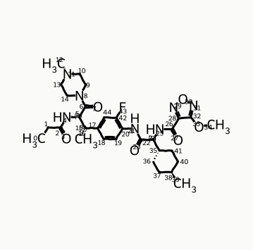 CCC(=O)N[C@@H](C(=O)N1CCN(C)CC1)[C@@H](C)c1ccc(NC(=O)[C@@H](NC(=O)c2nonc2OC)[C@H]2CC[C@H](C)CC2)c(F)c1